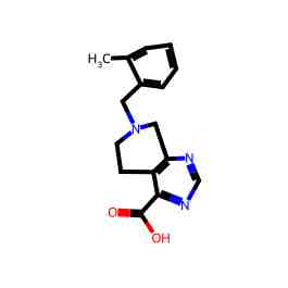 Cc1ccccc1CN1CCc2c(ncnc2C(=O)O)C1